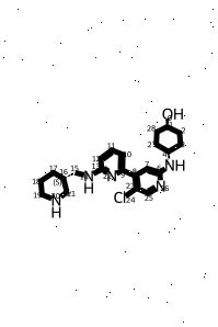 O[C@H]1CC[C@H](Nc2cc(-c3cccc(NC[C@H]4CCCNC4)n3)c(Cl)cn2)CC1